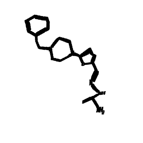 NC(=S)NN=Cc1ccc(N2CCN(Cc3ccccc3)CC2)o1